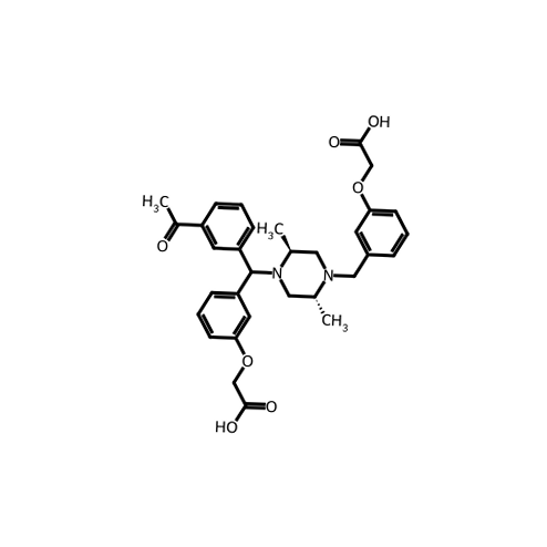 CC(=O)c1cccc(C(c2cccc(OCC(=O)O)c2)N2C[C@@H](C)N(Cc3cccc(OCC(=O)O)c3)C[C@@H]2C)c1